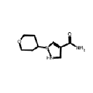 NC(=O)C1=CN(C2CCOCC2)NC1